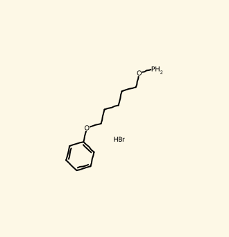 Br.POCCCCCOc1ccccc1